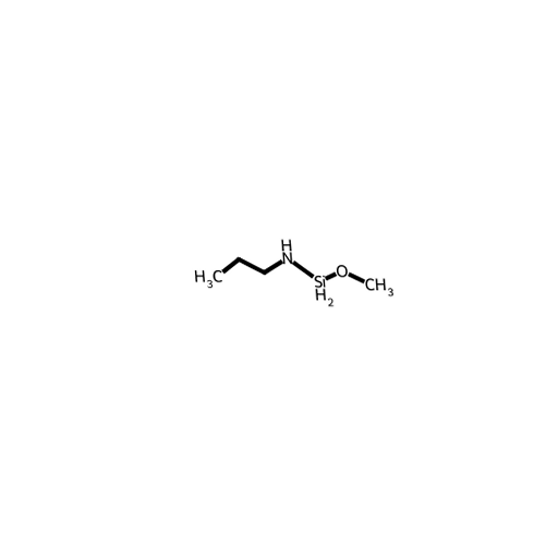 CCCN[SiH2]OC